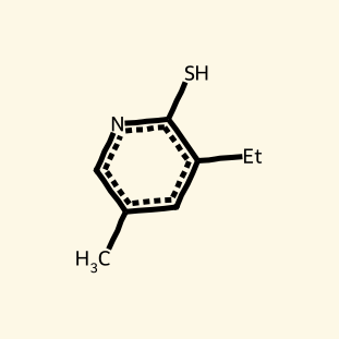 CCc1cc(C)cnc1S